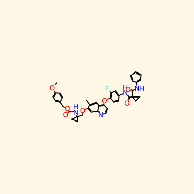 COc1ccc(COC(=O)NC2(COc3cc4nccc(Oc5ccc(NC(=O)C6(C(=O)Nc7ccccc7)CC6)cc5F)c4cc3C)CC2)cc1